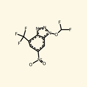 O=[N+]([O-])c1cc(C(F)(F)F)c2nnn(OC(F)F)c2c1